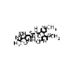 COc1cnc(Cl)cc1-c1cc(C)ncc1C(=O)Nc1nc2[nH]c(=O)c(-c3c(C)cnn3C)cc2s1